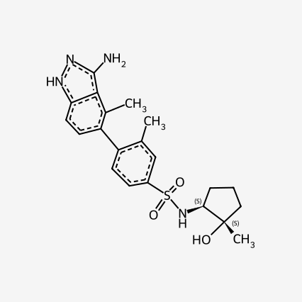 Cc1cc(S(=O)(=O)N[C@H]2CCC[C@]2(C)O)ccc1-c1ccc2[nH]nc(N)c2c1C